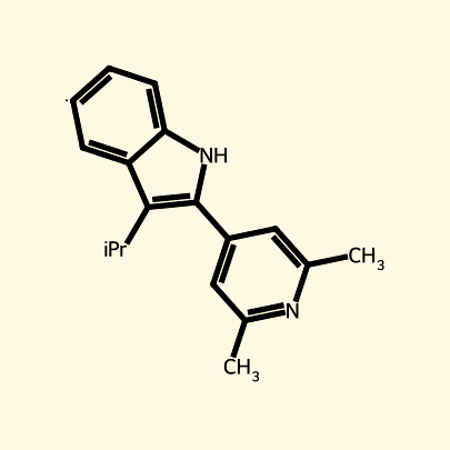 Cc1cc(-c2[nH]c3cc[c]cc3c2C(C)C)cc(C)n1